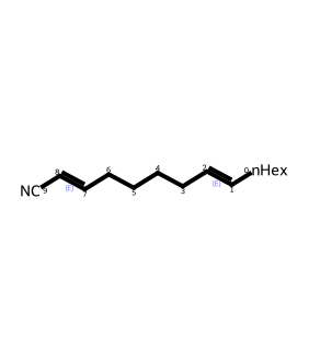 CCCCCC/C=C/CCCC/C=C/C#N